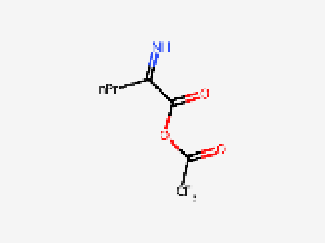 CCCC(=N)C(=O)OC(=O)C(F)(F)F